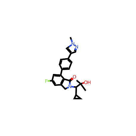 Cn1cc(-c2ccc(-c3cc(F)cc4c3C(=O)N(C(C3CC3)C(C)(C)O)C4)cc2)cn1